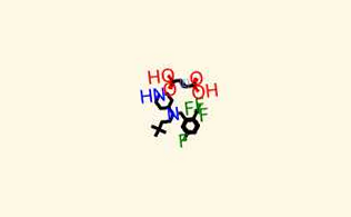 CC(C)(C)CCN(Cc1cc(F)ccc1C(F)(F)F)C1CCNCC1.O=C(O)/C=C/C(=O)O